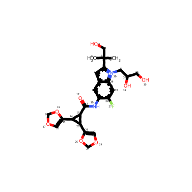 CC(C)(CO)c1cc2cc(NC(=O)C3C(C4=COCO4)C3C3=COCO3)c(F)cc2n1CC(O)CO